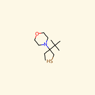 CCC(CS)(N1CCOCC1)C(C)(C)C